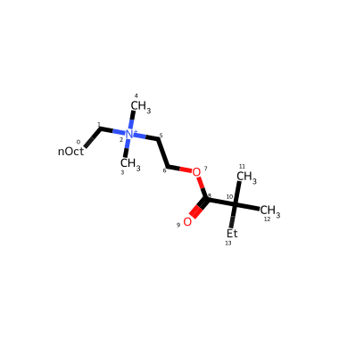 CCCCCCCCC[N+](C)(C)CCOC(=O)C(C)(C)CC